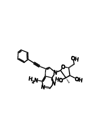 C[C@@]1(O)C(O)C(CO)OC1n1cc(C#Cc2ccccc2)c2c(N)ncnc21